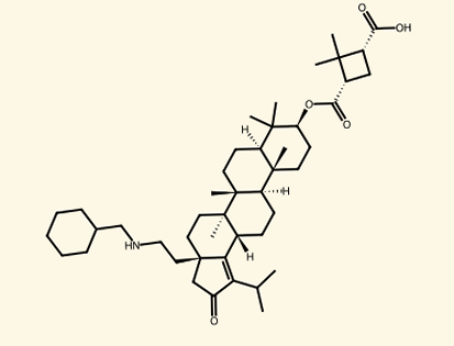 CC(C)C1=C2[C@H]3CC[C@@H]4[C@@]5(C)CC[C@H](OC(=O)[C@H]6C[C@@H](C(=O)O)C6(C)C)C(C)(C)[C@@H]5CC[C@@]4(C)[C@]3(C)CC[C@@]2(CCNCC2CCCCC2)CC1=O